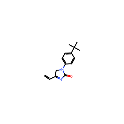 C=CC1=NC(=O)N(c2ccc(C(C)(C)C)cc2)C1